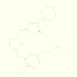 COCCOc1ccc(Br)c(CC2CCN(CC3CN(C4CCCCC4)C(=O)N3)C2)c1